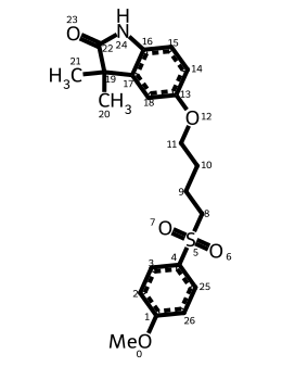 COc1ccc(S(=O)(=O)CCCCOc2ccc3c(c2)C(C)(C)C(=O)N3)cc1